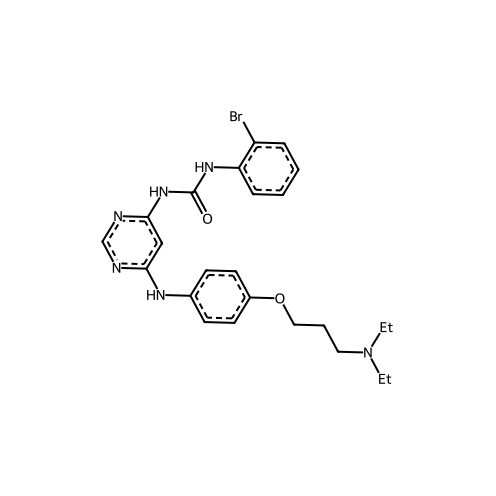 CCN(CC)CCCOc1ccc(Nc2cc(NC(=O)Nc3ccccc3Br)ncn2)cc1